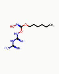 CCCCCCOC(=NO)ONC(=N)NC(=N)N